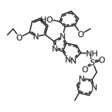 CCOC1=NC(c2nc3nnc(NS(=O)(=O)Cc4ncc(C)cn4)cc3n2-c2c(O)cccc2OC)=C=C=C1